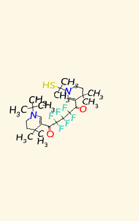 CC1(C)CCN(C(C)(C)C)C=C1C(=O)C(F)(F)C(F)(F)C(F)(F)C(=O)C1=CN(C(C)(C)S)CCC1(C)C